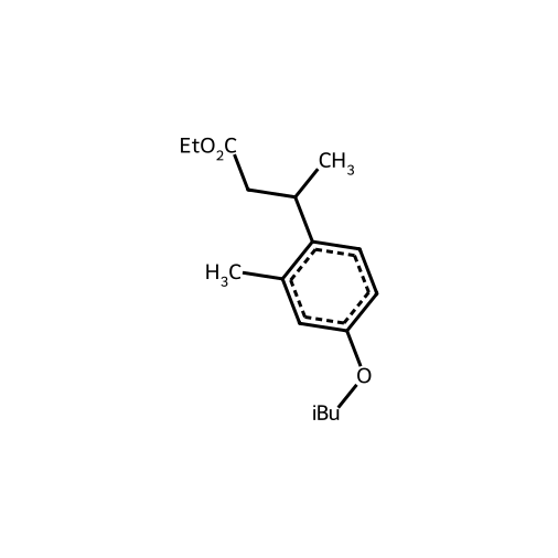 CCOC(=O)CC(C)c1ccc(OC(C)CC)cc1C